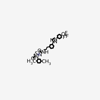 Cc1ccc(C)c(N2C(=O)CS/C2=N\C(=O)NCCCc2cccc(-c3ncn(-c4ccc(OC(F)(F)F)cc4)n3)c2)c1